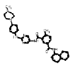 Cc1ccc(C(=O)Nc2cccc3ccccc23)cc1C(=O)Nc1cnc(Nc2ccc(N3CCN(C)CC3)cc2)nc1